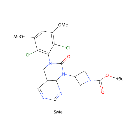 COc1cc(OC)c(Cl)c(N2Cc3cnc(SC)nc3N(C3CN(C(=O)OC(C)(C)C)C3)C2=O)c1Cl